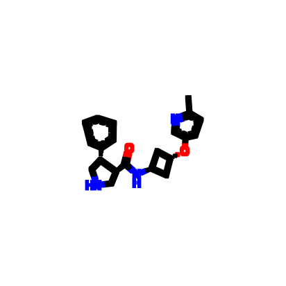 Cc1ccc(O[C@H]2C[C@H](NC(=O)[C@H]3CNC[C@@H]3c3ccccc3)C2)cn1